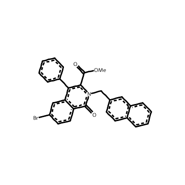 COC(=O)c1c(-c2ccccc2)c2cc(Br)ccc2c(=O)n1Cc1ccc2ccccc2c1